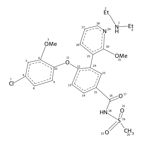 CCNCC.COc1cc(Cl)ccc1Oc1ccc(C(=O)NS(C)(=O)=O)cc1-c1cccnc1OC